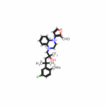 COc1ccc(F)cc1C(C)(C)CC(O)(CN1CCN(c2ccoc2C=O)c2ccccc21)C(F)(F)F